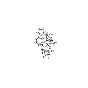 C=C[C@@H](O)[C@]1(CO[Si](c2ccccc2)(c2ccccc2)C(C)(C)C)O[C@@H]2OC(C)(C)O[C@@H]2[C@@H]1O